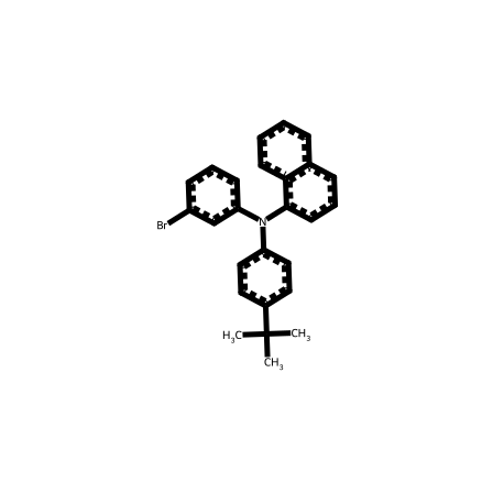 CC(C)(C)c1ccc(N(c2cccc(Br)c2)c2cccc3ccccc23)cc1